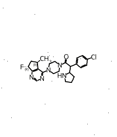 C[C@@H]1C[C@@H](F)c2ncnc(N3CCN(C(=O)C(c4ccc(Cl)cc4)C4CCCN4)CC3)c21